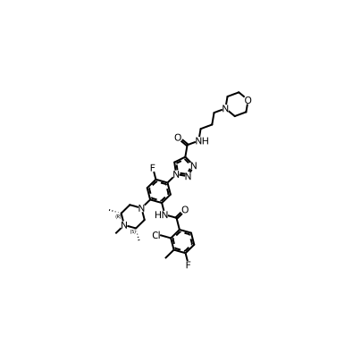 Cc1c(F)ccc(C(=O)Nc2cc(-n3cc(C(=O)NCCCN4CCOCC4)nn3)c(F)cc2N2C[C@@H](C)N(C)[C@@H](C)C2)c1Cl